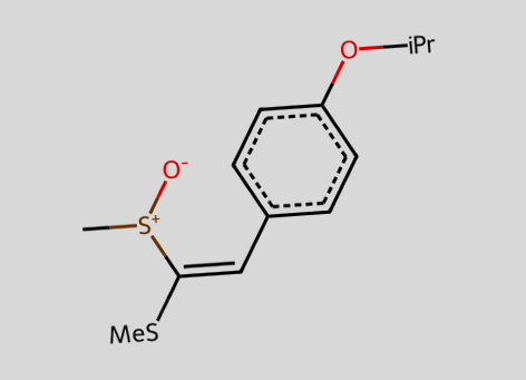 CSC(=Cc1ccc(OC(C)C)cc1)[S+](C)[O-]